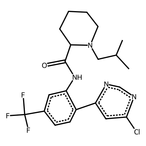 CC(C)CN1CCCCC1C(=O)Nc1cc(C(F)(F)F)ccc1-c1cc(Cl)ncn1